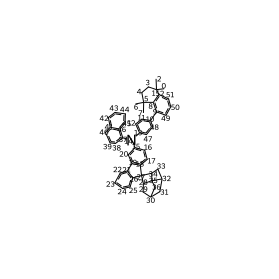 CC1(C)CCC(C)(C)c2c(-c3ccc(N(c4ccc5c(c4)-c4ccccc4C54C5CC6CC7CC4C75C6)c4cccc5ccccc45)cc3)cccc21